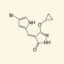 O=C1NN=C(OC2CC2)/C1=C\c1cc(Br)c[nH]1